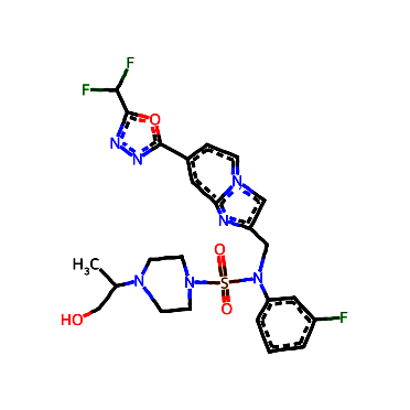 CC(CO)N1CCN(S(=O)(=O)N(Cc2cn3ccc(-c4nnc(C(F)F)o4)cc3n2)c2cccc(F)c2)CC1